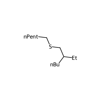 [CH2]CCCCCSCC(CC)CCCC